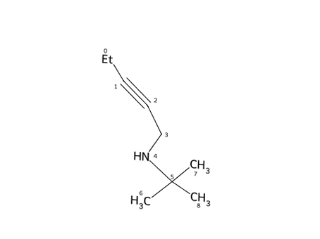 CCC#CCNC(C)(C)C